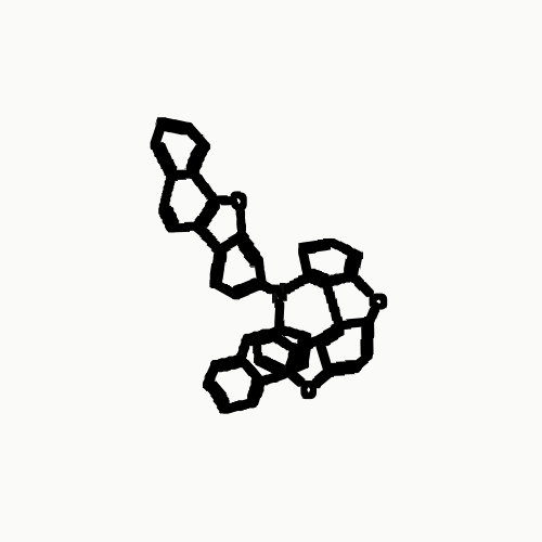 c1ccc(N(c2ccc3c(c2)oc2c4ccccc4ccc32)c2cccc3oc4ccc5oc6c7ccccc7ccc6c5c4c23)cc1